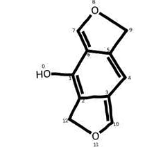 Oc1c2c(cc3c1=COC3)=COC2